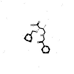 C[C@H](CNCC(=O)c1ccccc1)[C@H](OCc1ccccc1)C(=O)O